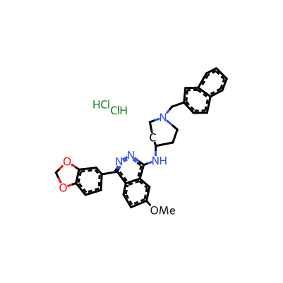 COc1ccc2c(-c3ccc4c(c3)OCO4)nnc(NC3CCN(Cc4ccc5ccccc5c4)CC3)c2c1.Cl.Cl